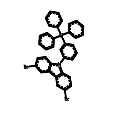 Brc1ccc2c(c1)c1cc(Br)ccc1n2-c1cccc([Si](c2ccccc2)(c2ccccc2)c2ccccc2)c1